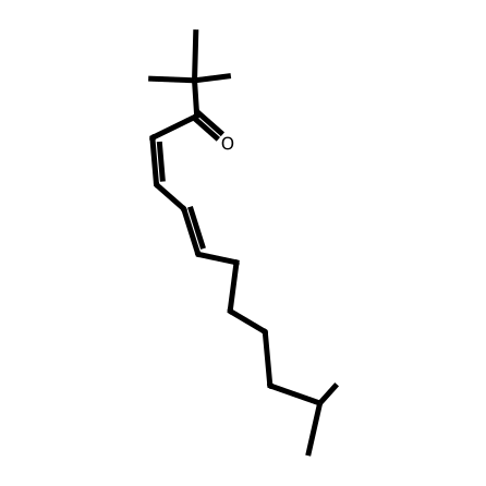 CC(C)CCCC/C=C/C=C\C(=O)C(C)(C)C